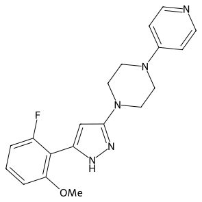 COc1cccc(F)c1-c1cc(N2CCN(c3ccncc3)CC2)n[nH]1